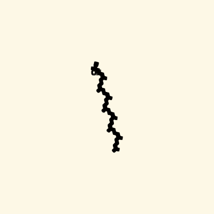 C#CC(C)(O)CCC=C(C)CCC=C(C)CCC=C(C)CCC=C(C)CCC=C(C)CCC=C(C)CCC=C(C)CCC=C(C)C